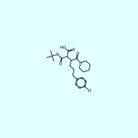 CC(C)(C)OC(=O)C(C(=O)O)C(CCCc1ccc(Cl)cc1)C(=O)N1CCCCC1